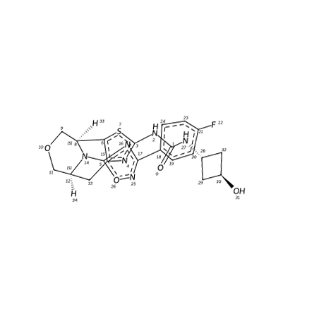 O=C(Nc1nc2c(s1)[C@@H]1COC[C@H](C2)N1c1nc(-c2ccc(F)cc2)no1)N[C@H]1C[C@H](O)C1